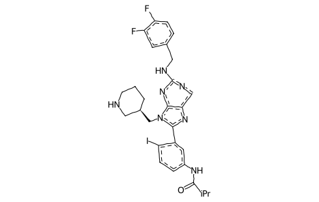 CC(C)C(=O)Nc1ccc(I)c(-c2nc3cnc(NCc4ccc(F)c(F)c4)nc3n2C[C@@H]2CCCNC2)c1